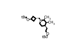 C[C@H]1[C@@H](CCOC(C)(C)C)CCN(C[C@H]2C[C@H](OC(C)(C)C)C2)[C@H]1C